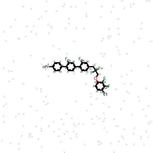 CCCc1ccc(-c2ccc(-c3ccc(CC(F)(F)COc4ccc(CC)c(F)c4F)cc3F)cc2F)cc1